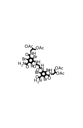 CC(=O)OCC(CNC(=O)c1c(Br)c(NC(=O)CC(=O)Nc2c(Br)c(C(N)=O)c(Br)c(C(=O)NCC(COC(C)=O)OC(C)=O)c2Br)c(Br)c(C(N)=O)c1Br)OC(C)=O